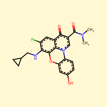 CN(C)C(=O)c1cn2c3c(c(NCC4CC4)c(F)cc3c1=O)Oc1cc(O)ccc1-2